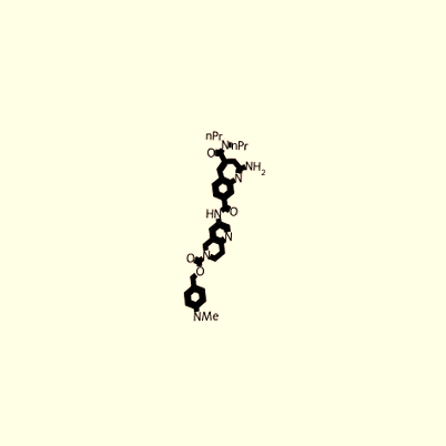 CCCN(CCC)C(=O)C1=Cc2ccc(C(=O)Nc3cnc4c(c3)CN(C(=O)OCc3ccc(NC)cc3)CC4)cc2N=C(N)C1